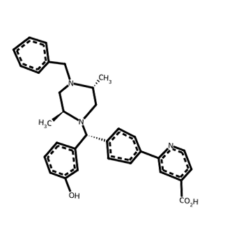 C[C@@H]1CN([C@H](c2ccc(-c3cc(C(=O)O)ccn3)cc2)c2cccc(O)c2)[C@@H](C)CN1Cc1ccccc1